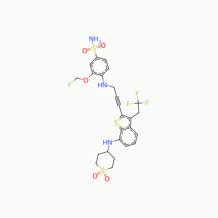 NS(=O)(=O)c1ccc(NCC#Cc2sc3c(NC4CCS(=O)(=O)CC4)cccc3c2CC(F)(F)F)c(OCF)c1